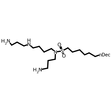 CCCCCCCCCCCCCCCCS(=O)(=O)N(CCCN)CCCCNCCCN